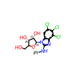 CC(C)Nc1nc2c(Cl)c(Cl)c(Cl)cc2n1[C@H]1OC(CO)[C@H](O)[C@@H]1O